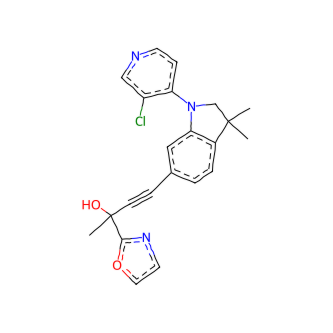 CC(O)(C#Cc1ccc2c(c1)N(c1ccncc1Cl)CC2(C)C)c1ncco1